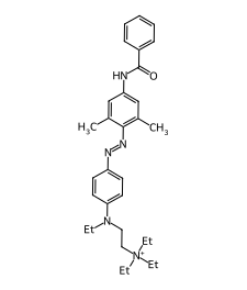 CCN(CC[N+](CC)(CC)CC)c1ccc(/N=N/c2c(C)cc(NC(=O)c3ccccc3)cc2C)cc1